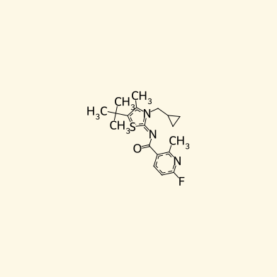 Cc1nc(F)ccc1C(=O)/N=c1\sc(C(C)(C)C)c(C)n1CC1CC1